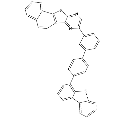 c1cc(-c2ccc(-c3cccc4c3sc3ccccc34)cc2)cc(-c2cnc3sc4c5ccccc5ccc4c3n2)c1